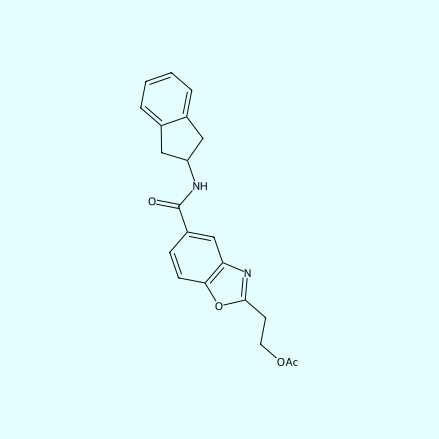 CC(=O)OCCc1nc2cc(C(=O)NC3Cc4ccccc4C3)ccc2o1